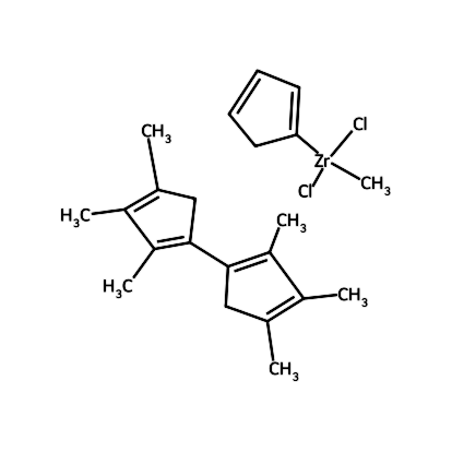 CC1=C(C)C(C)=C(C2=C(C)C(C)=C(C)C2)C1.[CH3][Zr]([Cl])([Cl])[C]1=CC=CC1